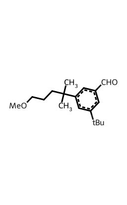 COCCCC(C)(C)c1cc(C=O)cc(C(C)(C)C)c1